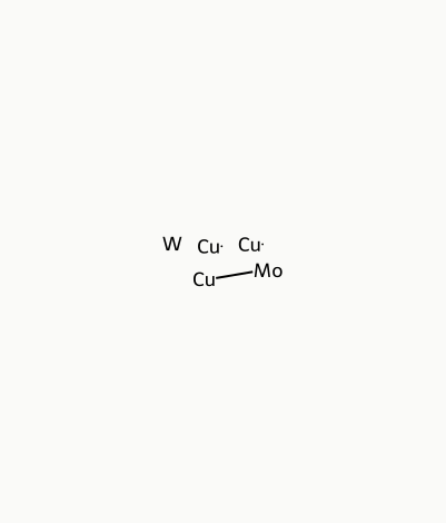 [Cu].[Cu].[Cu][Mo].[W]